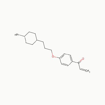 C=CC(=O)c1ccc(OCCCC2CCC(CCC)CC2)cc1